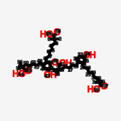 CC(C)(CCCCCCc1cc(C2CC2(CCCCCc2ccc(O)cc2CCCCCCC(C)(C)C(=O)O)C(=O)O)c(O)cc1CCCCCC1(C(=O)O)CC1)C(=O)O